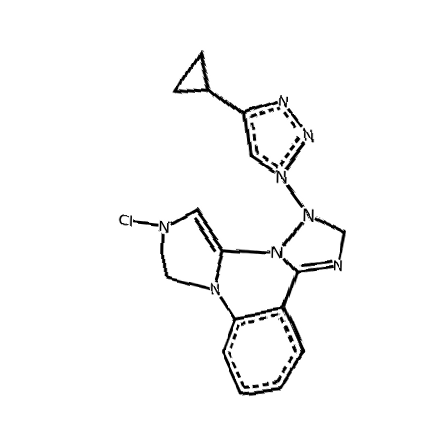 ClN1C=C2N(C1)c1ccccc1C1=NCN(n3cc(C4CC4)nn3)N21